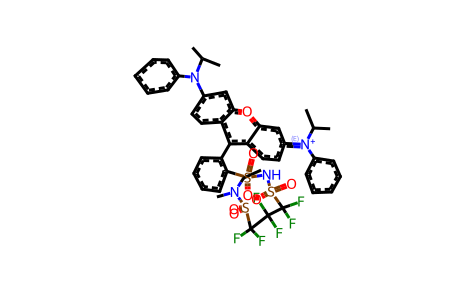 CCN(C)S(=O)(=O)C(F)(F)C(F)(F)C(F)(F)S(=O)(=O)NS(=O)(=O)c1ccccc1-c1c2cc/c(=[N+](\c3ccccc3)C(C)C)cc-2oc2cc(N(c3ccccc3)C(C)C)ccc12